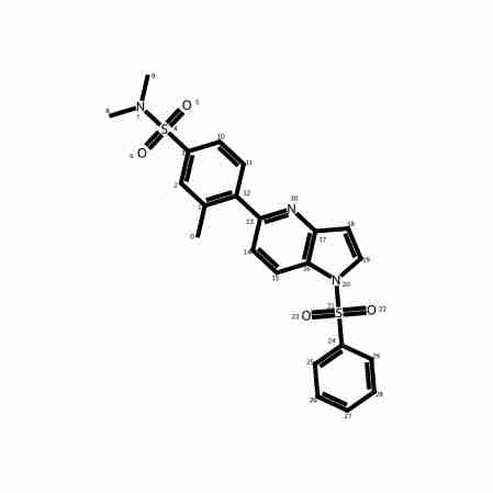 Cc1cc(S(=O)(=O)N(C)C)ccc1-c1ccc2c(ccn2S(=O)(=O)c2ccccc2)n1